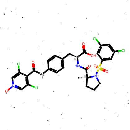 C[C@@]1(C(=O)N[C@@H](Cc2ccc([AsH]C(=O)c3c(Cl)c[n+]([O-])cc3Cl)cc2)C(=O)O)CCCN1S(=O)(=O)c1cc(Cl)cc(Cl)c1